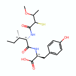 CC[C@H](C)[C@H](NC(=O)C(S)C(C)OC)C(=O)N[C@@H](Cc1ccc(O)cc1)C(=O)O